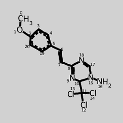 COc1ccc(C=CC2=NC(C(Cl)(Cl)Cl)N(N)C=N2)cc1